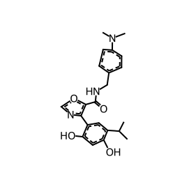 CC(C)c1cc(-c2ncoc2C(=O)NCc2ccc(N(C)C)cc2)c(O)cc1O